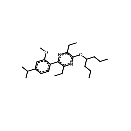 CCCC(CCC)Oc1nc(CC)c(-c2ccc(C(C)C)cc2OC)nc1CC